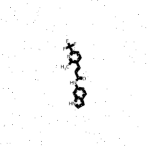 Cc1nc(C(F)(F)F)ccc1/C=C/C(=O)Nc1ccc2cc[nH]c2c1